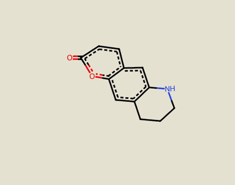 O=c1ccc2cc3c(cc2o1)CCCN3